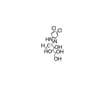 CC(c1nc2cc(Cl)c(Cl)cc2[nH]1)[C@@H](O)[C@H](O)C(O)CO